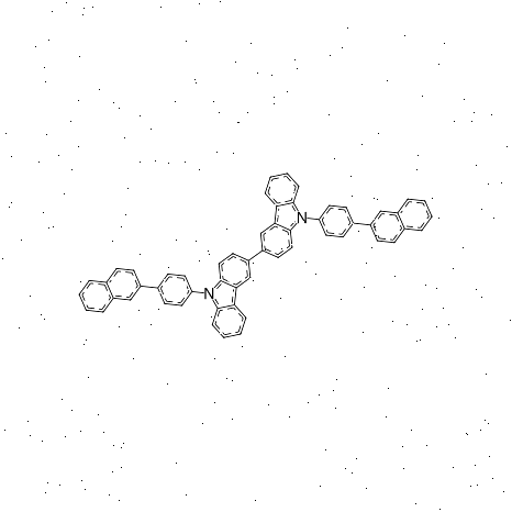 c1ccc2cc(-c3ccc(-n4c5ccccc5c5cc(-c6ccc7c(c6)c6ccccc6n7-c6ccc(-c7ccc8ccccc8c7)cc6)ccc54)cc3)ccc2c1